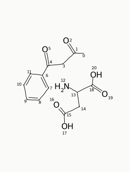 CC(=O)CC(=O)c1ccccc1.NC(CC(=O)O)C(=O)O